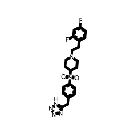 O=S(=O)(c1ccc(Cc2nnn[nH]2)cc1)C1CCN(CCc2ccc(F)cc2F)CC1